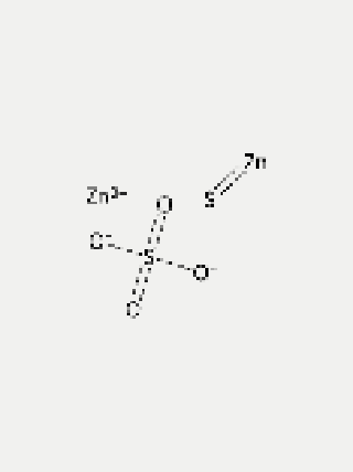 O=S(=O)([O-])[O-].[S]=[Zn].[Zn+2]